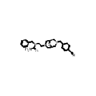 N#Cc1ccc(CN2CC3CN(CCN(Cc4ccccc4)C(N)=O)CC(C2)O3)cc1